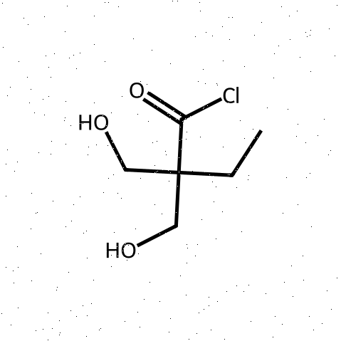 CCC(CO)(CO)C(=O)Cl